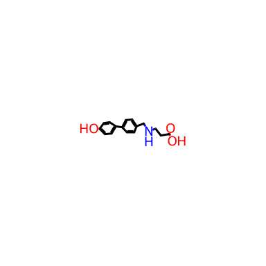 O=C(O)CCNCc1ccc(-c2ccc(O)cc2)cc1